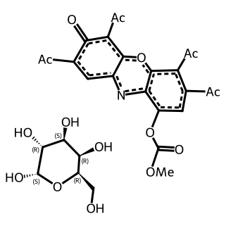 COC(=O)Oc1cc(C(C)=O)c(C(C)=O)c2oc3c(C(C)=O)c(=O)c(C(C)=O)cc-3nc12.OC[C@H]1O[C@H](O)[C@H](O)[C@@H](O)[C@H]1O